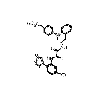 O=C(Nc1cc(Cl)ccc1-n1cnnn1)C(=O)N[C@H](CNc1ccc(C(=O)O)cc1)Cc1ccccc1